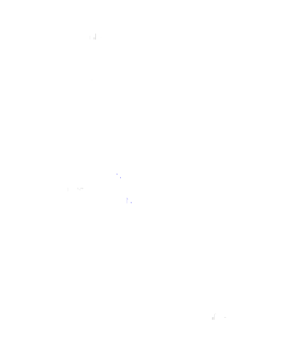 CCCCCCCCCCCCCCCCCCCN1C=CN(CCCCCCCCCCCCCCCCCCC)C1CCCCCCCCCCC